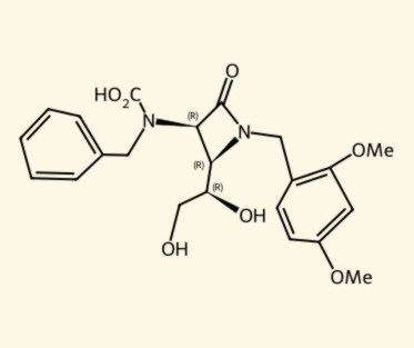 COc1ccc(CN2C(=O)[C@H](N(Cc3ccccc3)C(=O)O)[C@@H]2[C@@H](O)CO)c(OC)c1